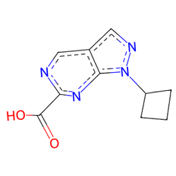 O=C(O)c1ncc2cnn(C3CCC3)c2n1